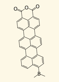 CB(C)c1ccc2c3ccc4c5ccc6c7c(ccc(c8ccc(c9cccc1c92)c3c84)c75)C(=O)OC6=O